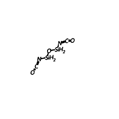 O=C=N[SiH2]O[SiH2]N=C=O